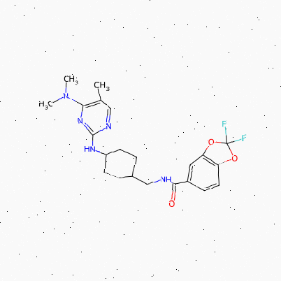 Cc1cnc(NC2CCC(CNC(=O)c3ccc4c(c3)OC(F)(F)O4)CC2)nc1N(C)C